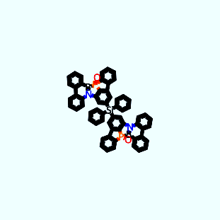 O=P12B3c4ccccc4-c4ccccc4N3c3cc([Si](c4ccccc4)(c4ccccc4)c4cc5c6c(c4)N4B(c7ccccc7-c7ccccc74)P6(=O)c4ccccc4-5)cc(c31)-c1ccccc12